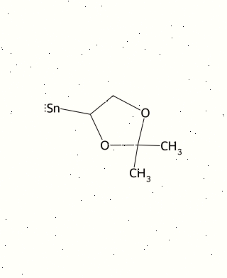 CC1(C)OC[CH]([Sn])O1